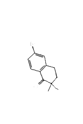 CC1(C)CCc2cc(Br)ccc2C1=O